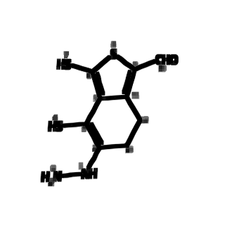 NNC1=C(S)c2c(S)sc(C=O)c2CC1